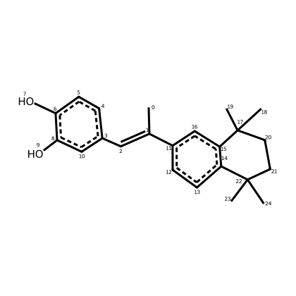 C/C(=C\c1ccc(O)c(O)c1)c1ccc2c(c1)C(C)(C)CCC2(C)C